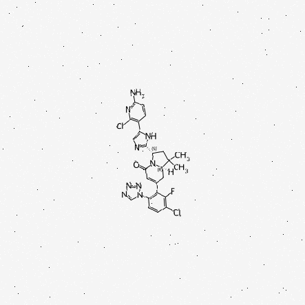 CC1(C)C[C@@H](c2ncc(-c3ccc(N)nc3Cl)[nH]2)N2C(=O)C=C(c3c(-n4cnnn4)ccc(Cl)c3F)C[C@@H]21